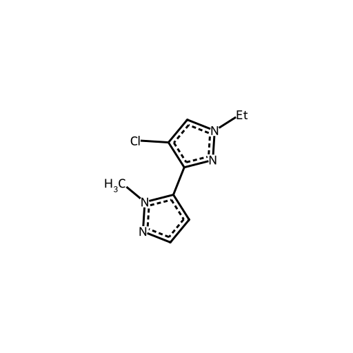 CCn1cc(Cl)c(-c2ccnn2C)n1